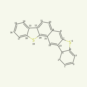 C1=CCC2C(=C1)Sc1cc3ccc4c5ccccc5sc4c3cc12